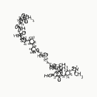 Cc1ncsc1-c1ccc(CNC(=O)[C@@H]2C[C@@H](O)CN2C(=O)[C@@H](NC(=O)CCCCCC(=O)NCCOc2cc(-c3cccc(-c4csc(NC(=O)CNC(=O)c5ccn(S(C)(=O)=O)c5)n4)c3)ccn2)C(C)(C)C)cc1